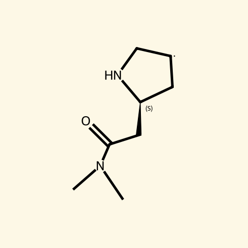 CN(C)C(=O)C[C@@H]1C[CH]CN1